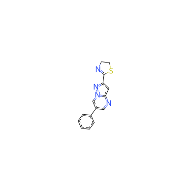 c1ccc(-c2cnc3cc(C4=NCCS4)nn3c2)cc1